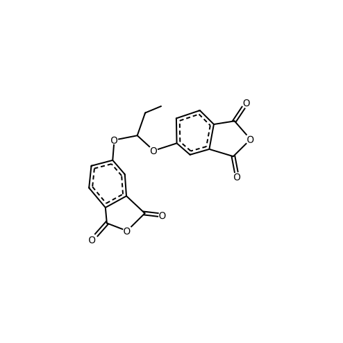 CCC(Oc1ccc2c(c1)C(=O)OC2=O)Oc1ccc2c(c1)C(=O)OC2=O